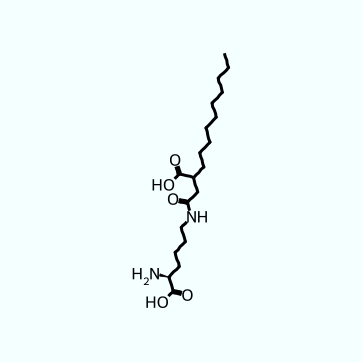 CCCCCCCCCCC(CC(=O)NCCCC[C@H](N)C(=O)O)C(=O)O